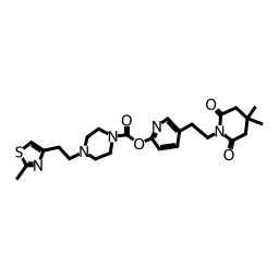 Cc1nc(CCN2CCN(C(=O)Oc3ccc(CCN4C(=O)CC(C)(C)CC4=O)cn3)CC2)cs1